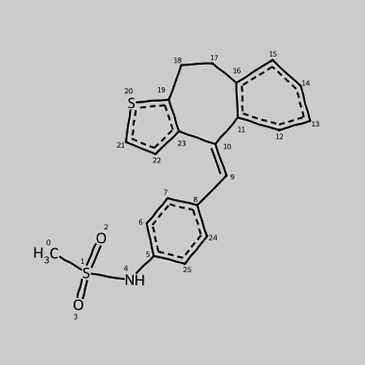 CS(=O)(=O)Nc1ccc(C=C2c3ccccc3CCc3sccc32)cc1